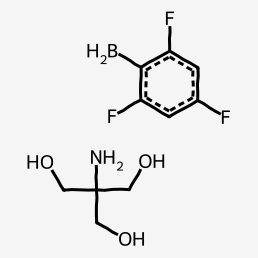 Bc1c(F)cc(F)cc1F.NC(CO)(CO)CO